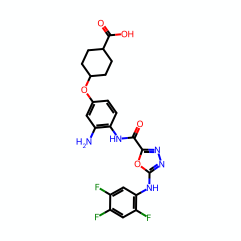 Nc1cc(OC2CCC(C(=O)O)CC2)ccc1NC(=O)c1nnc(Nc2cc(F)c(F)cc2F)o1